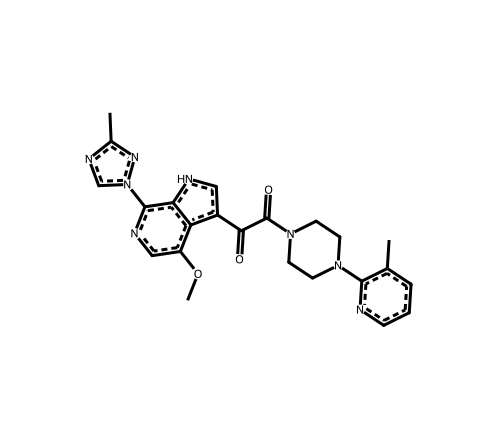 COc1cnc(-n2cnc(C)n2)c2[nH]cc(C(=O)C(=O)N3CCN(c4ncccc4C)CC3)c12